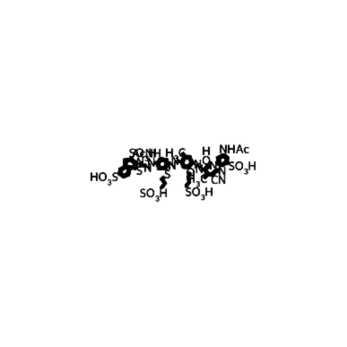 CC(=O)Nc1cc(S(=O)(=O)O)c2nc3c(C#N)c(C)c(N=Nc4cc(C)c(N=Nc5cc(NC(C)=O)c(N=Nc6nc7c(S(=O)(=O)O)cc8cc(S(=O)(=O)O)ccc8c7s6)cc5SCCCS(=O)(=O)O)cc4OCCCS(=O)(=O)O)c(O)n3c2c1